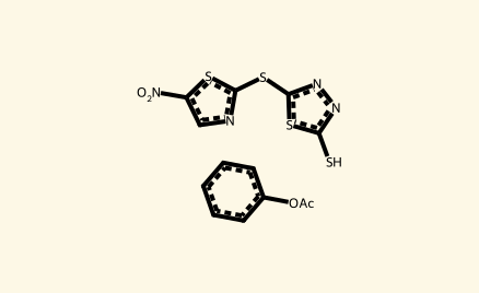 CC(=O)Oc1ccccc1.O=[N+]([O-])c1cnc(Sc2nnc(S)s2)s1